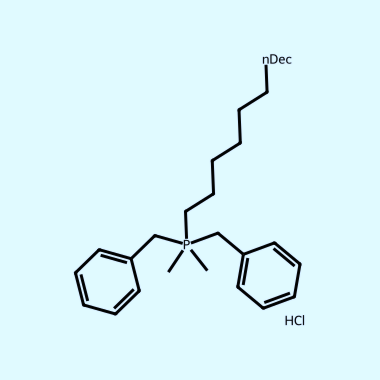 CCCCCCCCCCCCCCCCP(C)(C)(Cc1ccccc1)Cc1ccccc1.Cl